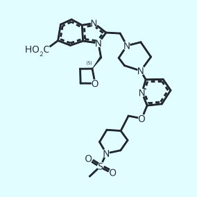 CS(=O)(=O)N1CCC(COc2cccc(N3CCN(Cc4nc5ccc(C(=O)O)cc5n4C[C@@H]4CCO4)CC3)n2)CC1